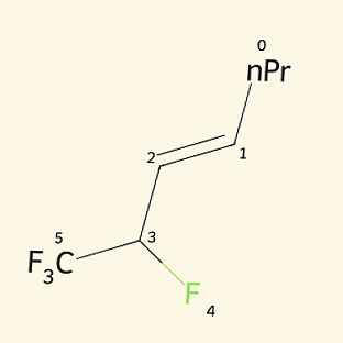 CCCC=CC(F)C(F)(F)F